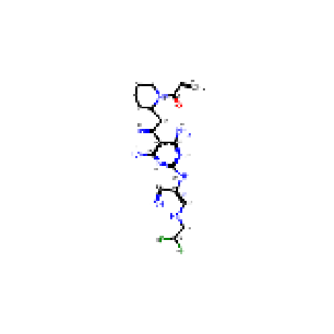 C=CC(=O)N1CCCCC1CC(=N)c1c(N)nc(N/C(C=N)=C/NCC(F)F)nc1N